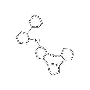 c1ccc(-c2ccccc2Nc2ccc3c4cccc5c6ccccc6n(c3c2)c54)cc1